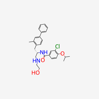 Cc1cc(-c2ccccc2)ccc1C[C@@H](CNCCO)NC(=O)c1ccc(OC(C)C)c(Cl)c1